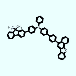 CC1(C)c2ccccc2-c2ccc(-c3ccc(N(c4ccccc4)c4ccc(-c5ccc(-c6cc7c8ccccc8oc7c7ccccc67)cc5)cc4)cc3)cc21